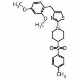 COc1ccc(Cc2csc(N3CCC(S(=O)(=O)c4ccc(C)cc4)CC3)n2)c(OC)c1